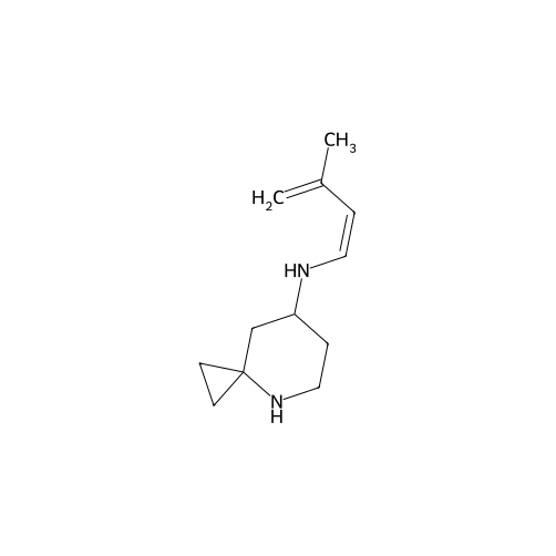 C=C(C)/C=C\NC1CCNC2(CC2)C1